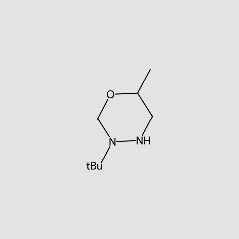 CC1CNN(C(C)(C)C)CO1